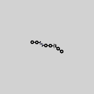 C/C(=N\N=C(/C)c1ccc(-c2ccc(-c3nnc(-c4ccc(-c5ccccc5)cc4)o3)cc2)cc1)c1ccc(-c2ccccc2)cc1